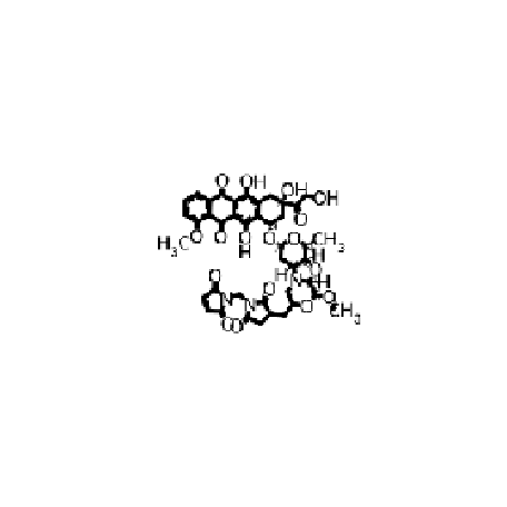 COc1cccc2c1C(=O)c1c(O)c3c(c(O)c1C2=O)C[C@@](O)(C(=O)CO)C[C@@H]3O[C@H]1C[C@H]2[C@H](O[C@@H]3[C@@H](OC)OC(CC4CC(=O)N(CN5C(=O)C=CC5=O)C4=O)CN32)[C@H](C)O1